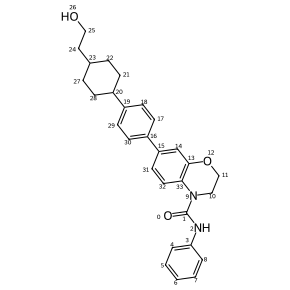 O=C(Nc1ccccc1)N1CCOc2cc(-c3ccc(C4CCC(CCO)CC4)cc3)ccc21